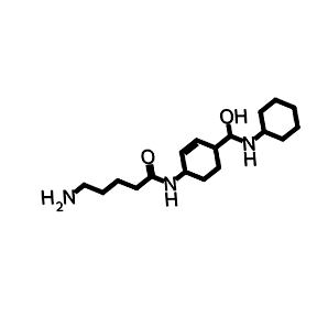 NCCCCC(=O)NC1C=CC(C(O)NC2CCCCC2)CC1